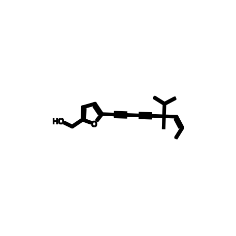 C/C=C\C(C)(C#CC#Cc1ccc(CO)o1)C(C)C